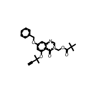 C#CC(C)(C)Oc1cc(OCc2ccccc2)cc2ncn(COC(=O)C(C)(C)C)c(=O)c12